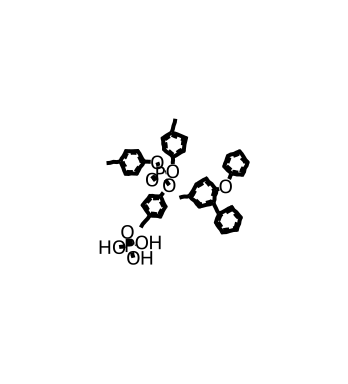 Cc1ccc(OP(=O)(Oc2ccc(C)cc2)Oc2ccc(C)cc2)cc1.Cc1ccc(Oc2ccccc2)c(-c2ccccc2)c1.O=P(O)(O)O